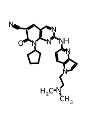 CN(C)CCn1ccc2nc(Nc3ncc4cc(C#N)c(=O)n(C5CCCC5)c4n3)ccc21